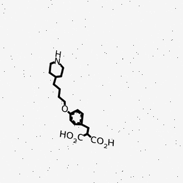 O=C(O)C(Cc1ccc(OCCCCC2CCNCC2)cc1)C(=O)O